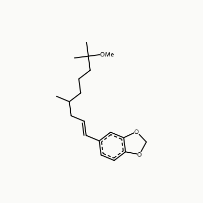 COC(C)(C)CCCC(C)CC=Cc1ccc2c(c1)OCO2